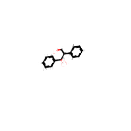 [O]CC(c1ccccc1)C([O])c1ccccc1